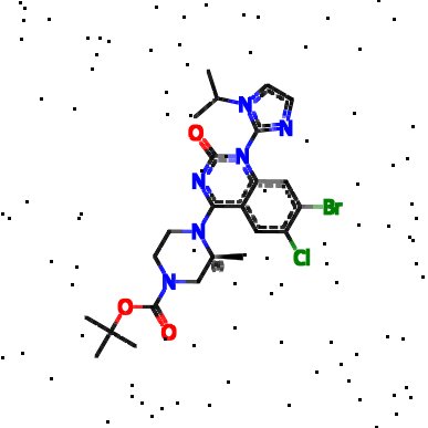 CC(C)n1ccnc1-n1c(=O)nc(N2CCN(C(=O)OC(C)(C)C)C[C@@H]2C)c2cc(Cl)c(Br)cc21